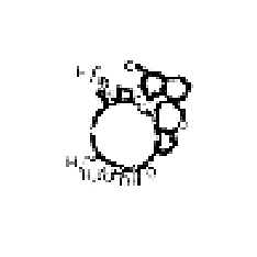 CO/C=C1/CCC[C@H](C)[C@@H](C)S(=O)(=O)NC(=O)c2ccc3c(c2)N(C[C@@H]2CC[C@@H]12)C[C@@]1(CCCc2cc(Cl)ccc21)CO3